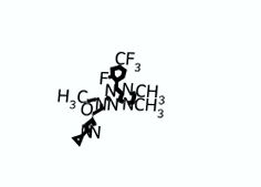 Cc1nc2nc(N3C[C@@H](C)O[C@@H](c4cnn(C5CC5)c4)C3)nc(-c3ccc(C(F)(F)F)cc3F)c2nc1C